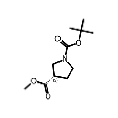 COC(=O)[C@H]1CCN(C(=O)OC(C)(C)C)C1